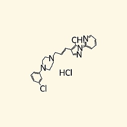 Cc1c(C=CCN2CCN(c3cccc(Cl)c3)CC2)cnn1-c1ccccn1.Cl